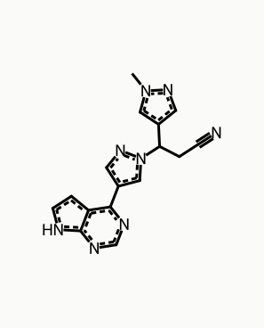 Cn1cc(C(CC#N)n2cc(-c3ncnc4[nH]ccc34)cn2)cn1